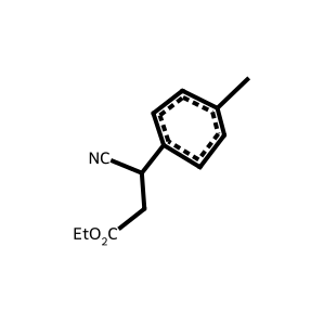 CCOC(=O)CC(C#N)c1ccc(C)cc1